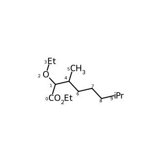 CCOC(=O)C(OCC)C(C)CCCC(C)C